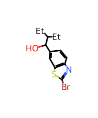 CCC(CC)C(O)c1ccc2nc(Br)sc2c1